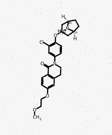 COCCOc1ccc2c(c1)CCN(c1ccc(O[C@H]3C[C@H]4CC[C@@H](C3)N4C)c(Cl)c1)C2=O